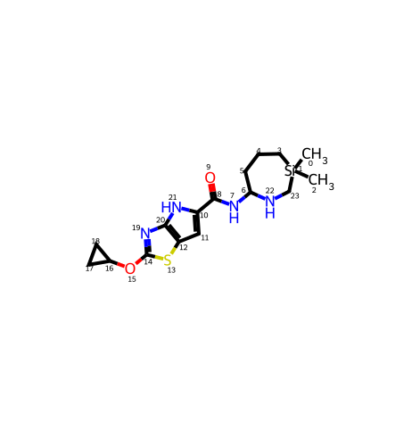 C[Si]1(C)CCCC(NC(=O)c2cc3sc(OC4CC4)nc3[nH]2)NC1